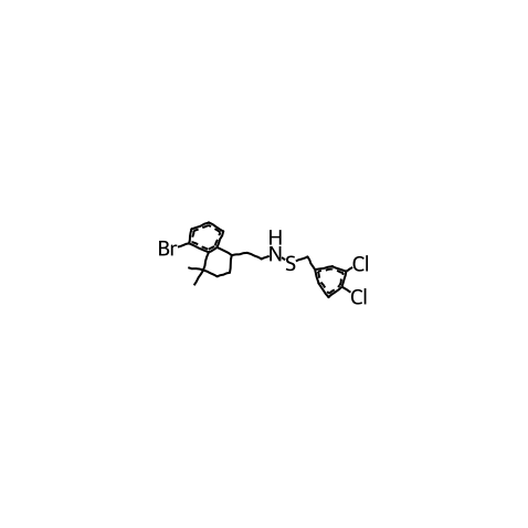 CC1(C)CCC(CCNSCc2ccc(Cl)c(Cl)c2)c2cccc(Br)c21